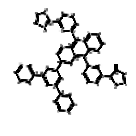 C1=CSC(c2cccc(-c3c4ccccc4c(-c4cccc(-c5nccs5)n4)c4ccc(-c5cc(-c6ccccc6)cc(-c6ccccc6)c5)cc34)n2)N1